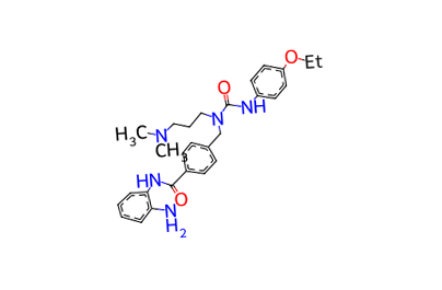 CCOc1ccc(NC(=O)N(CCCN(C)C)Cc2ccc(C(=O)Nc3ccccc3N)cc2)cc1